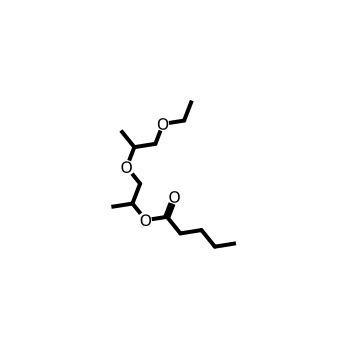 CCCCC(=O)OC(C)COC(C)COCC